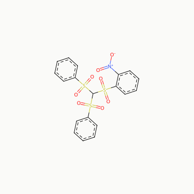 O=[N+]([O-])c1ccccc1S(=O)(=O)C(S(=O)(=O)c1ccccc1)S(=O)(=O)c1ccccc1